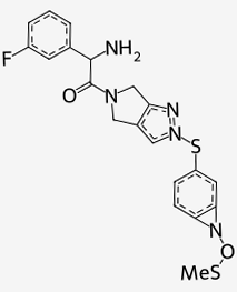 CSON1c2ccc(Sn3cc4c(n3)CN(C(=O)C(N)c3cccc(F)c3)C4)cc21